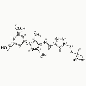 CCCCCC(C)(C)CSc1nnc(N=Nc2c(C(C)(C)C)nn(-c3cc(C(=O)O)cc(C(=O)O)c3)c2N)s1